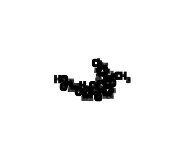 CCC(=O)N(c1ccc(Cl)cc1)[C@H]1C[C@@H](C)N(C(=O)c2ccc(OCCCC(=O)O)cc2)c2ccccc21